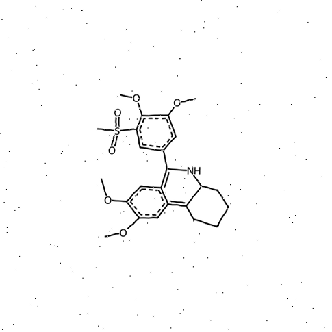 COc1cc2c(cc1OC)=C1CCCCC1NC=2c1cc(OC)c(OC)c(S(C)(=O)=O)c1